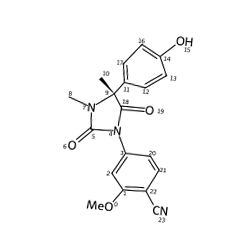 COc1cc(N2C(=O)N(C)[C@](C)(c3ccc(O)cc3)C2=O)ccc1C#N